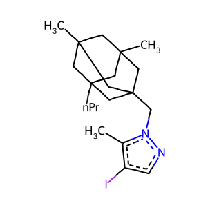 CCCC12CC3(C)CC(C)(C1)CC(Cn1ncc(I)c1C)(C3)C2